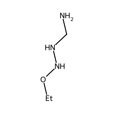 CCONNCN